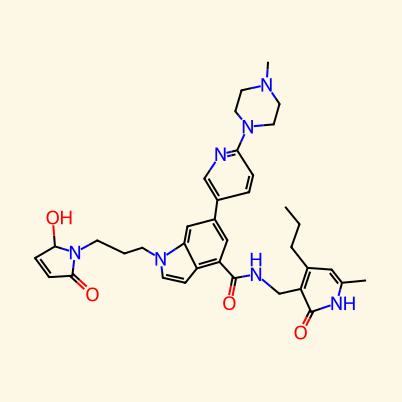 CCCc1cc(C)[nH]c(=O)c1CNC(=O)c1cc(-c2ccc(N3CCN(C)CC3)nc2)cc2c1ccn2CCCN1C(=O)C=CC1O